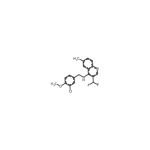 COc1ccc(CNc2c(C(F)F)cnc3ccc(C)cc23)cc1Cl